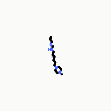 C=CC/N=C/NC/C=C/CCCN1CCN(C)CC1